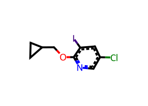 Clc1cnc(OCC2CC2)c(I)c1